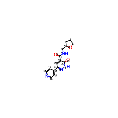 O=C(NC[C@H]1CCCO1)c1cc(-c2ccncc2)n[nH]c1=O